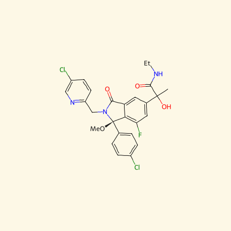 CCNC(=O)C(C)(O)c1cc(F)c2c(c1)C(=O)N(Cc1ccc(Cl)cn1)[C@@]2(OC)c1ccc(Cl)cc1